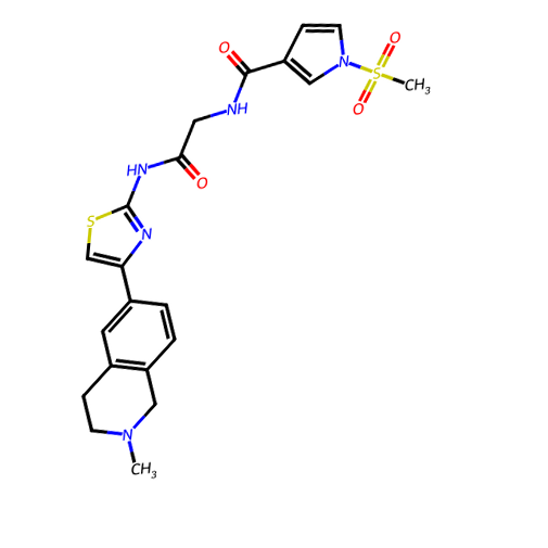 CN1CCc2cc(-c3csc(NC(=O)CNC(=O)c4ccn(S(C)(=O)=O)c4)n3)ccc2C1